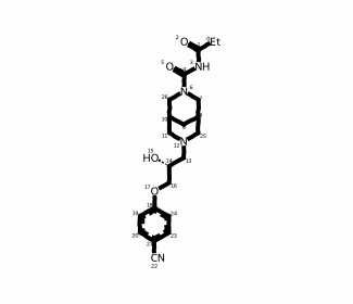 CCC(=O)NC(=O)N1CC2CC(CN(C[C@@H](O)COc3ccc(C#N)cc3)C2)C1